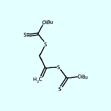 C=C(CSC(=S)OCC(C)C)SC(=S)OCC(C)C